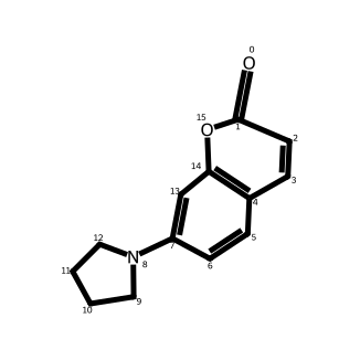 O=c1ccc2ccc(N3CCCC3)cc2o1